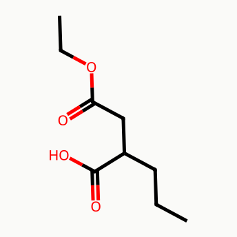 CCCC(CC(=O)OCC)C(=O)O